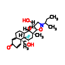 CCC(C)N1C[C@@H]2C[C@H]3[C@@H]4CCC5=CC(=O)C=C[C@]5(C)[C@@]4(F)[C@@H](O)C[C@]3(C)[C@]2(C(=O)CO)O1